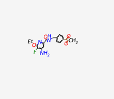 CCOc1nc(C(=O)NCc2ccc(S(C)(=O)=O)cc2)cc(N)c1F